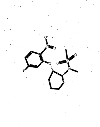 CN([C@H]1CCCC[C@@H]1Oc1cc(F)ccc1[N+](=O)[O-])S(C)(=O)=O